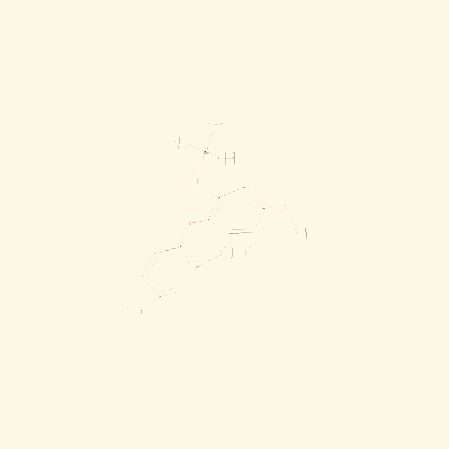 [2H]C([2H])([2H])Oc1cc(OC(F)(F)F)ccc1Oc1ccc(C(F)(F)F)cc1C=O